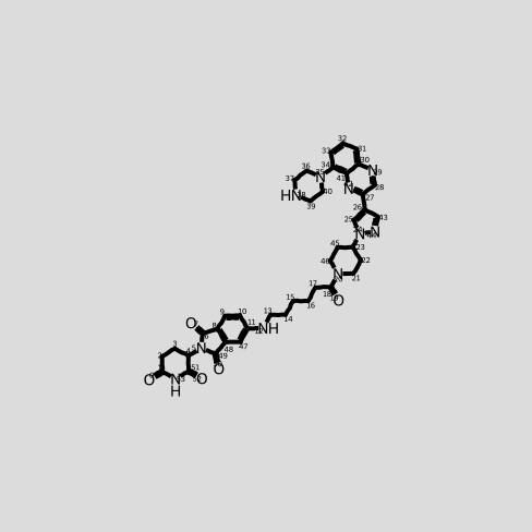 O=C1CCC(N2C(=O)c3ccc(NCCCCCC(=O)N4CCC(n5cc(-c6cnc7cccc(N8CCNCC8)c7n6)cn5)CC4)cc3C2=O)C(=O)N1